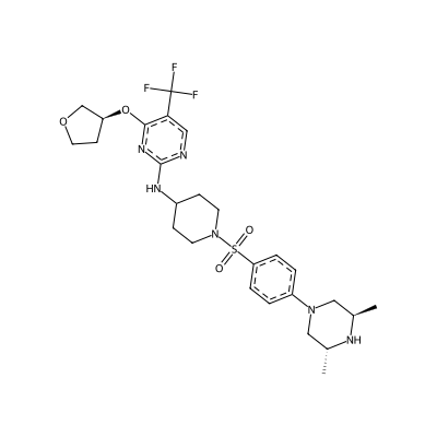 C[C@@H]1CN(c2ccc(S(=O)(=O)N3CCC(Nc4ncc(C(F)(F)F)c(O[C@H]5CCOC5)n4)CC3)cc2)C[C@@H](C)N1